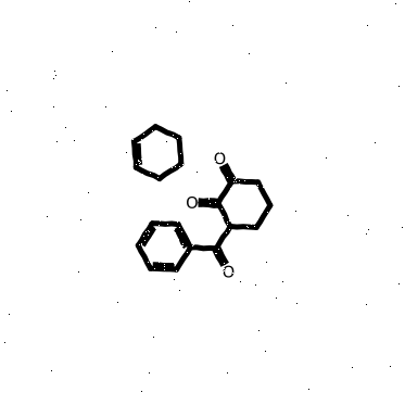 C1=CCCCC1.O=C1CCCC(C(=O)c2ccccc2)C1=O